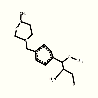 COC(c1ccc(CN2CCN(C)CC2)cc1)C(N)CF